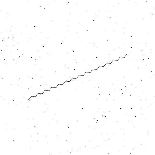 CCCCCCCCCCCCCCCCCCCCCCCCCCCC[CH2][K]